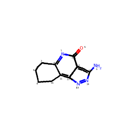 NC1=C2C(=O)N=C3CCCCC3=C2N=N1